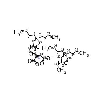 CCCC[N+](CC)(CCCC)CCCC.CCCC[N+](CC)(CCCC)CCCC.O=C([O-])/C=C\C(=O)[O-]